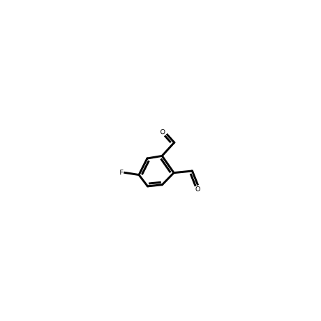 O=Cc1ccc(F)cc1C=O